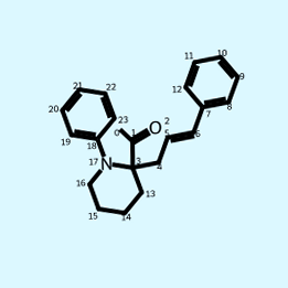 CC(=O)C1(CC=Cc2ccccc2)CCCCN1c1ccccc1